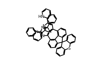 C1=CNC(c2cc(-c3cccc4c3-c3c(-c5nc(-c6ccccc6)nc(-c6ccccc6)n5)cccc3C43c4ccccc4Sc4ccccc43)cc(-c3ccccn3)n2)C=C1